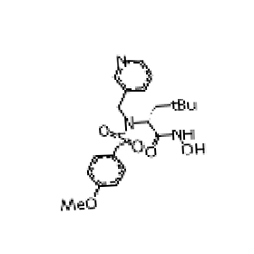 COc1ccc(S(=O)(=O)N(Cc2cccnc2)[C@H](CC(C)(C)C)C(=O)NO)cc1